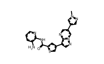 Cn1cc(-c2cnc3c(-c4csc(C(=O)Nc5ncccc5N)c4)cnn3c2)cn1